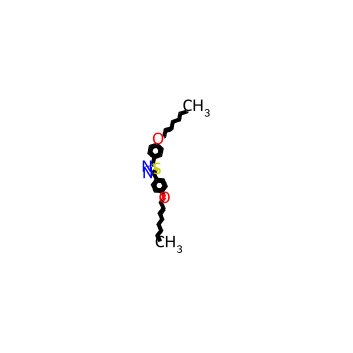 CCCCCC=CCOc1ccc(-c2nnc(-c3ccc(OCC=CCCCCC)cc3)s2)cc1